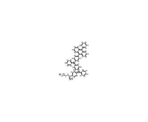 CCCC(S)c1ccc2c(c1)c1cc(N(c3ccccc3)c3ccc(-c4c5ccccc5c(-c5ccccc5)c5ccccc45)cc3)ccc1n2-c1ccccc1